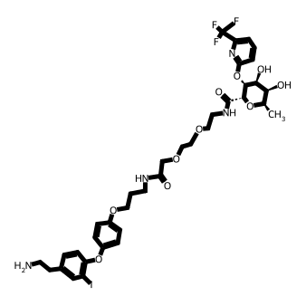 C[C@H]1O[C@H](C(=O)NCCOCCOCC(=O)NCCCOc2ccc(Oc3ccc(CCN)cc3I)cc2)[C@H](Oc2cccc(C(F)(F)F)n2)[C@@H](O)[C@H]1O